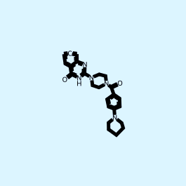 O=C(c1ccc(N2CCCCC2)cc1)N1CCN(c2nc3ccccc3c(=O)[nH]2)CC1